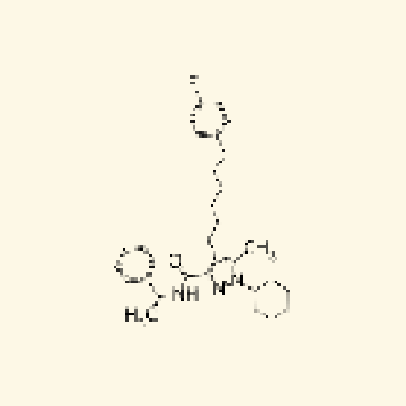 Cc1c(CCCCCCc2ccc(F)cc2)c(C(=O)N[C@@H](C)c2ccccc2)nn1C1CCCCC1